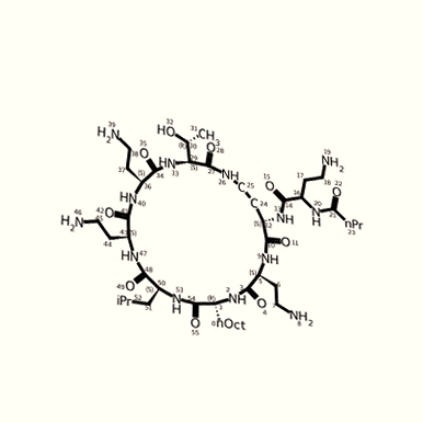 CCCCCCCC[C@H]1NC(=O)[C@H](CCN)NC(=O)[C@@H](NC(=O)C(CCN)NC(=O)CCC)CCNC(=O)[C@H]([C@@H](C)O)NC(=O)[C@H](CCN)NC(=O)[C@H](CCN)NC(=O)[C@H](CC(C)C)NC1=O